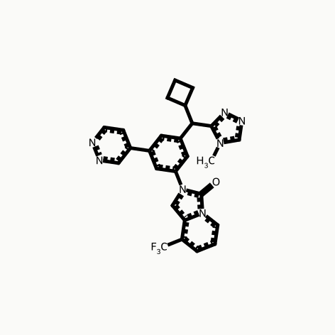 Cn1cnnc1C(c1cc(-c2ccnnc2)cc(-n2cc3c(C(F)(F)F)cccn3c2=O)c1)C1CCC1